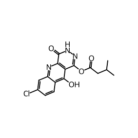 CC(C)CC(=O)Oc1n[nH]c(=O)c2nc3cc(Cl)ccc3c(O)c12